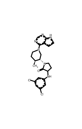 C[C@H]1CCN(c2ncnc3[nH]ccc23)C[C@@H]1N1CCC(Nc2cc(Cl)cc(Cl)c2)C1=O